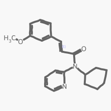 COc1cccc(/C=C/C(=O)N(c2ccccn2)C2CCCCC2)c1